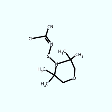 CC1(C)COCC(C)(C)N1SN=C(Cl)C#N